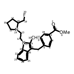 COC(=O)c1ccc(Cc2c(C)n(CCN3CCCC3CF)c3ccccc23)cc1